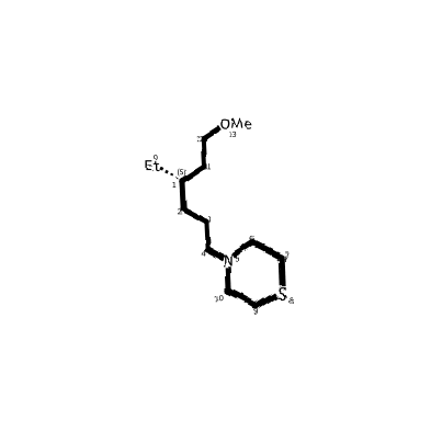 CC[C@@H](CCCN1CCSCC1)CCOC